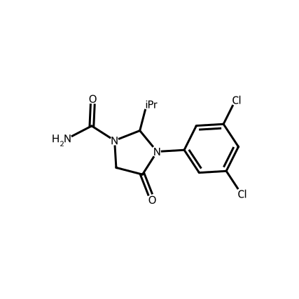 CC(C)C1N(C(N)=O)CC(=O)N1c1cc(Cl)cc(Cl)c1